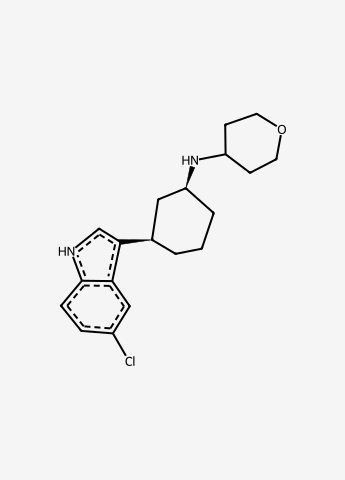 Clc1ccc2[nH]cc([C@@H]3CCC[C@H](NC4CCOCC4)C3)c2c1